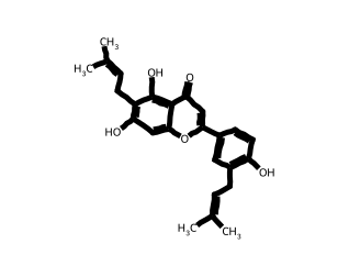 CC(C)=CCc1cc(-c2cc(=O)c3c(O)c(CC=C(C)C)c(O)cc3o2)ccc1O